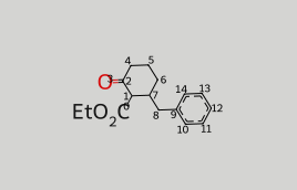 CCOC(=O)C1C(=O)CCCC1Cc1ccccc1